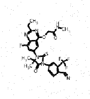 CCc1nc(OCC(=O)NC)c2cc(N3C(=S)N(c4ccc(C#N)c(C(F)(F)F)c4)C(=O)C3(C)C)cc(F)c2n1